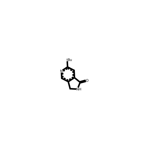 CC(C)(C)c1cc2c(cn1)CNC2=O